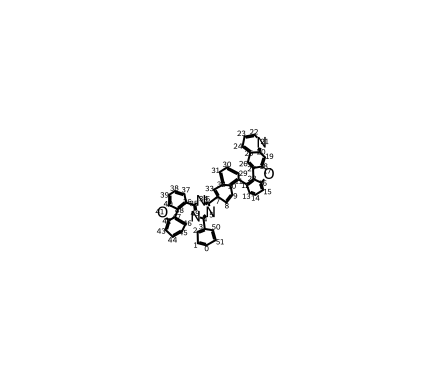 c1ccc(-c2nc(-c3ccc4c(-c5cccc6oc7cc8ncccc8cc7c56)cccc4c3)nc(-c3cccc4oc5ccccc5c34)n2)cc1